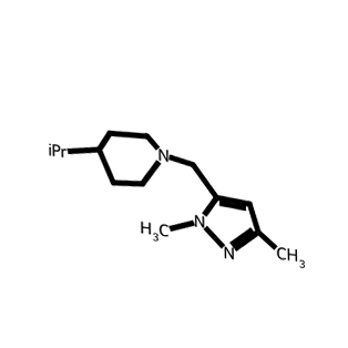 Cc1cc(CN2CCC(C(C)C)CC2)n(C)n1